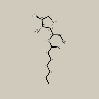 CCCCCCC(=O)O[C@H](CO)[C@H]1OC[C@H](O)[C@H]1O